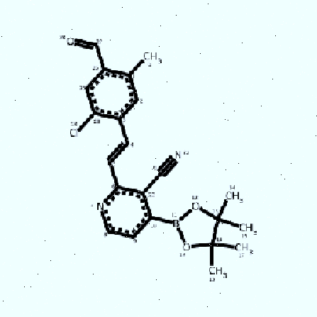 Cc1cc(/C=C/c2nccc(B3OC(C)(C)C(C)(C)O3)c2C#N)c(Cl)cc1C=O